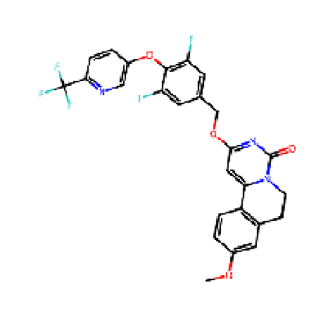 COc1ccc2c(c1)CCn1c-2cc(OCc2cc(F)c(Oc3ccc(C(F)(F)F)nc3)c(F)c2)nc1=O